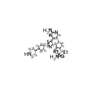 CCC(c1cccc(-c2nc(-c3ccc(C4CCNCC4)cc3)sc2-c2ccnc(N)n2)c1F)S(N)(=O)=O